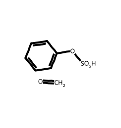 C=O.O=S(=O)(O)Oc1ccccc1